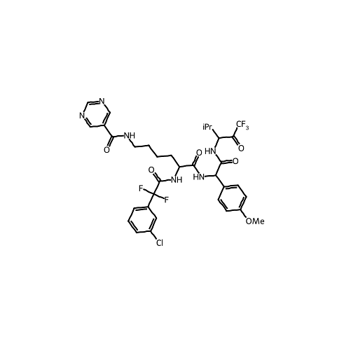 COc1ccc(C(NC(=O)C(CCCCNC(=O)c2cncnc2)NC(=O)C(F)(F)c2cccc(Cl)c2)C(=O)NC(C(=O)C(F)(F)F)C(C)C)cc1